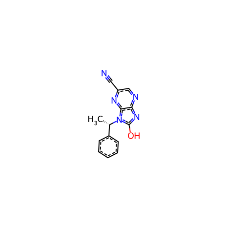 C[C@@H](c1ccccc1)n1c(O)nc2ncc(C#N)nc21